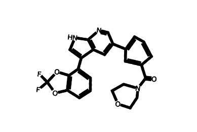 O=C(c1cccc(-c2cnc3[nH]cc(-c4cccc5c4OC(F)(F)O5)c3c2)c1)N1CCOCC1